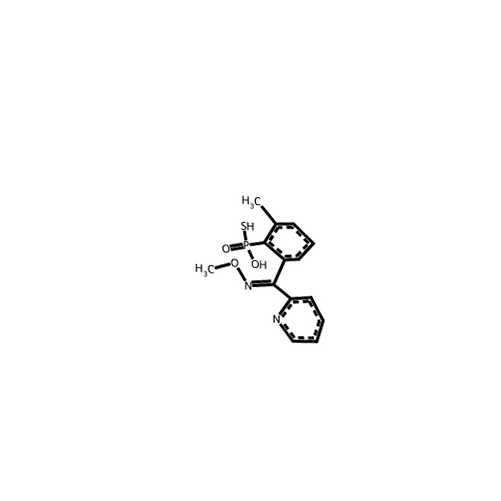 CO/N=C(/c1ccccn1)c1cccc(C)c1P(=O)(O)S